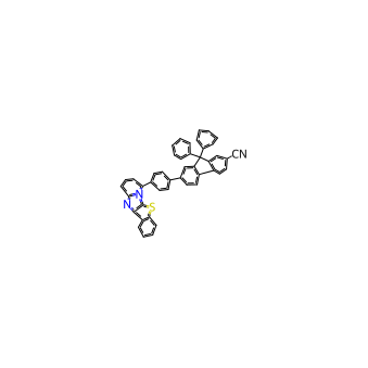 N#Cc1ccc2c(c1)C(c1ccccc1)(c1ccccc1)c1cc(-c3ccc(-c4cccc5nc6c7ccccc7sc6n45)cc3)ccc1-2